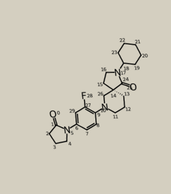 O=C1CCCN1c1ccc(N2CCC[C@@]3(CCN(C4CCCCC4)C3=O)C2)c(F)c1